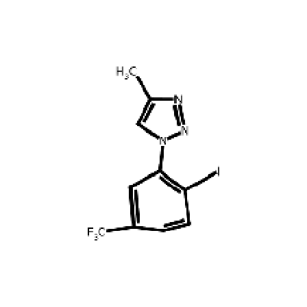 Cc1cn(-c2cc(C(F)(F)F)ccc2I)nn1